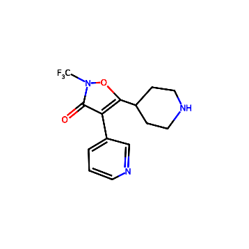 O=c1c(-c2cccnc2)c(C2CCNCC2)on1C(F)(F)F